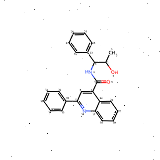 CC(O)C(NC(=O)c1cc(-c2ccccc2)nc2ccccc12)c1ccccc1